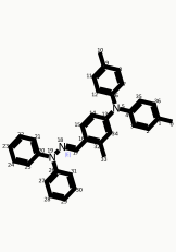 Cc1ccc(N(c2ccc(C)cc2)c2ccc(/C=N/N(c3ccccc3)c3ccccc3)c(C)c2)cc1